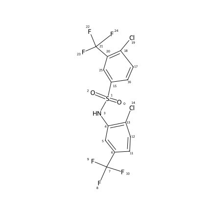 O=S(=O)(Nc1cc(C(F)(F)F)ccc1Cl)c1ccc(Cl)c(C(F)(F)F)c1